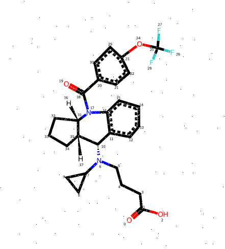 O=C(O)CCCN(C1CC1)[C@H]1c2ccccc2N(C(=O)c2ccc(OC(F)(F)F)cc2)[C@H]2CCC[C@H]21